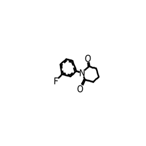 O=C1CCCC(=O)N1c1cccc(F)c1